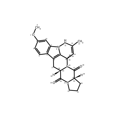 COc1ccc2c3c4n(c2c1)NC(C)=C[C@@H]4N1C(=O)[C@@H]2CCCN2C(=O)[C@@H]1C3